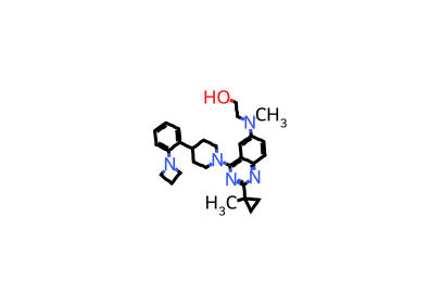 CN(CCO)c1ccc2nc(C3(C)CC3)nc(N3CCC(c4ccccc4N4CCC4)CC3)c2c1